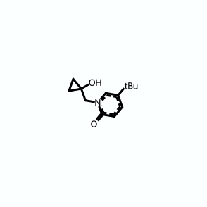 CC(C)(C)c1ccc(=O)n(CC2(O)CC2)c1